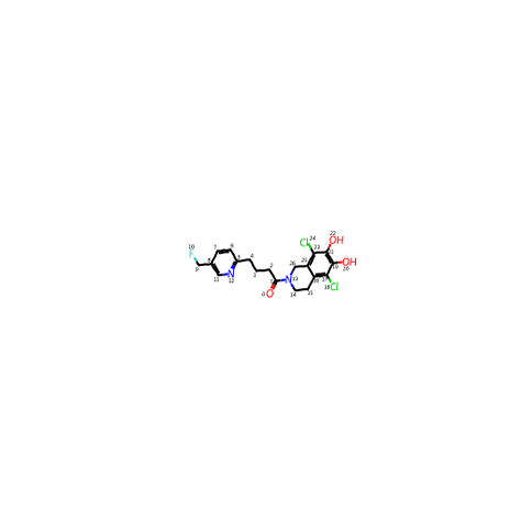 O=C(CCCc1ccc(CF)cn1)N1CCc2c(Cl)c(O)c(O)c(Cl)c2C1